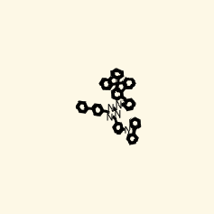 c1ccc(-c2ccc(-c3nc(-c4cccc(-n5c6ccccc6c6ccccc65)c4)nc(-n4c5ccccc5c5c6c(ccc54)C4(c5ccccc5-c5ccccc54)c4ccccc4-6)n3)cc2)cc1